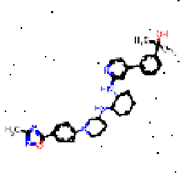 Cc1noc(-c2ccc(N3CCC[C@H](N[C@@H]4CCCC[C@H]4Nc4cc(-c5cccc(C(C)(C)O)c5)ccn4)C3)cc2)n1